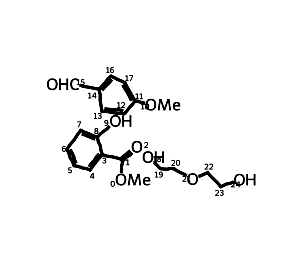 COC(=O)c1ccccc1O.COc1ccc(C=O)cc1.OCCOCCO